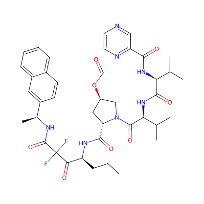 CCC[C@H](NC(=O)[C@@H]1C[C@@H](OC=O)CN1C(=O)[C@@H](NC(=O)[C@@H](NC(=O)c1cnccn1)C(C)C)C(C)C)C(=O)C(F)(F)C(=O)N[C@@H](C)c1ccc2ccccc2c1